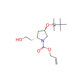 C=CCOC(=O)N1C[C@H](O[Si](C)(C)C(C)(C)C)C[C@H]1CCO